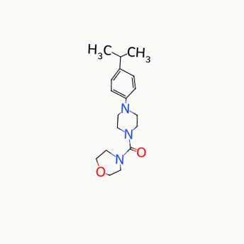 CC(C)c1ccc(N2CCN(C(=O)N3CCOCC3)CC2)cc1